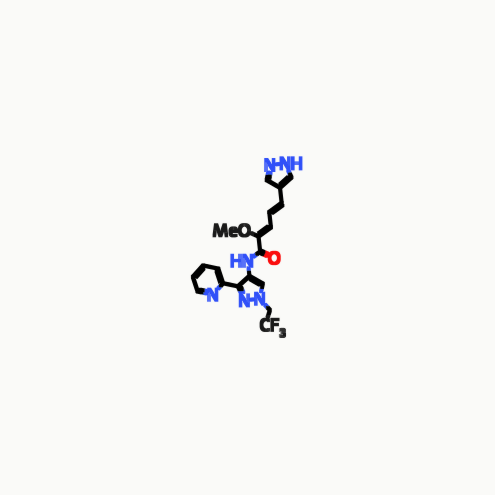 CO/C(=C\C=C\c1cn[nH]c1)C(=O)Nc1cn(CC(F)(F)F)nc1-c1ccccn1